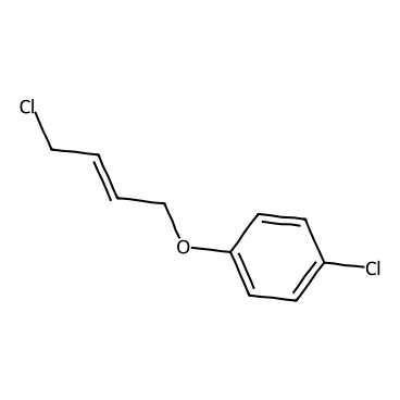 ClCC=CCOc1ccc(Cl)cc1